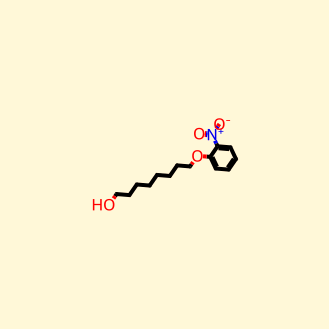 O=[N+]([O-])c1ccccc1OCCCCCCCCO